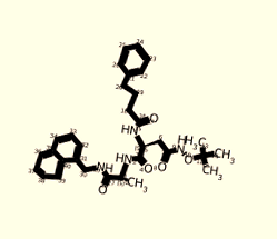 C[C@H](NC(=O)[C@H](CC(=O)NOC(C)(C)C)NC(=O)CCCc1ccccc1)C(=O)NCc1cccc2ccccc12